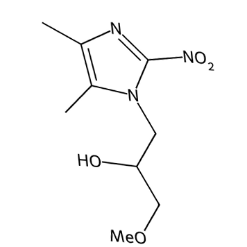 COCC(O)Cn1c([N+](=O)[O-])nc(C)c1C